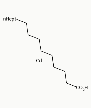 CCCCCCCCCCCCCCCC(=O)O.[Cd]